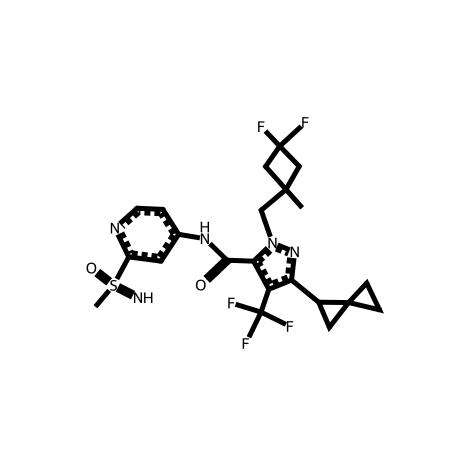 CC1(Cn2nc(C3CC34CC4)c(C(F)(F)F)c2C(=O)Nc2ccnc(S(C)(=N)=O)c2)CC(F)(F)C1